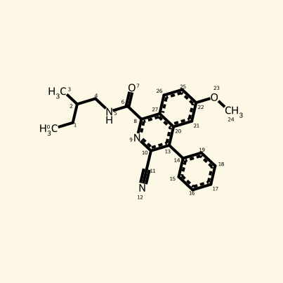 CCC(C)CNC(=O)c1nc(C#N)c(-c2ccccc2)c2cc(OC)ccc12